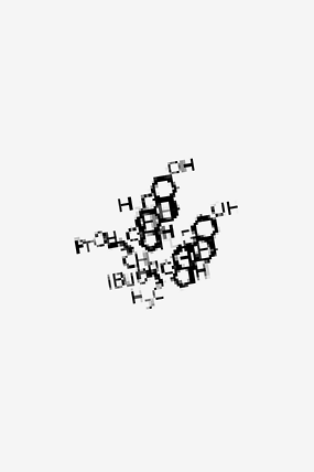 CC(C)COCC(C)[C@H]1CC[C@H]2[C@@H]3CC=C4C[C@@H](O)CC[C@]4(C)[C@H]3CC[C@]12C.CC(C)OCCC(C)[C@H]1CC[C@H]2[C@@H]3CC=C4C[C@@H](O)CC[C@]4(C)[C@H]3CC[C@]12C